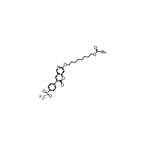 CCC(C)C(=O)OCCCCCCCCOc1cc2oc(=O)c(-c3ccc(S(=O)(=O)C(F)(F)F)cc3)cc2cn1